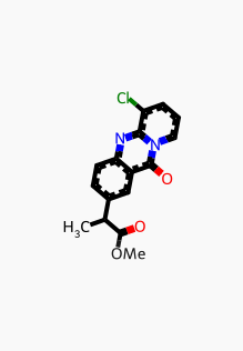 COC(=O)C(C)c1ccc2nc3c(Cl)cccn3c(=O)c2c1